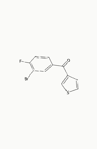 O=C(c1ccsc1)c1ccc(F)c(Br)c1